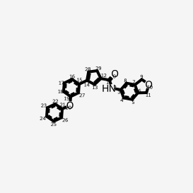 O=C(Nc1ccc2c(c1)COC2)C1=CC(c2cccc(Oc3ccccc3)c2)=CC1